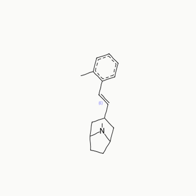 Cc1ccccc1/C=C/C1CC2CCC(C1)N2C